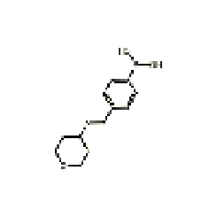 OB(O)c1ccc(CSC2CCOCC2)cc1